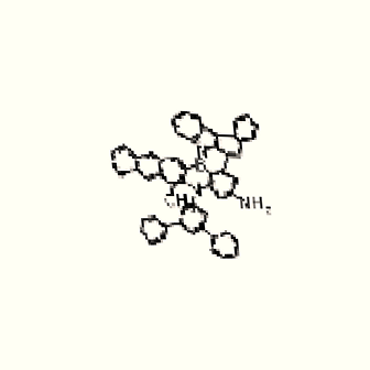 Cc1c2c(cc3cc4ccccc4cc13)B1c3c(cc(N)cc3N2c2cc(-c3ccccc3)cc(-c3ccccc3)c2)-c2cc3ccccc3c3c4ccccc4n1c23